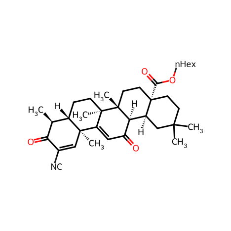 [C-]#[N+]C1=C[C@]2(C)C3=CC(=O)[C@@H]4[C@@H]5CC(C)(C)CC[C@]5(C(=O)OCCCCCC)CC[C@@]4(C)[C@]3(C)CC[C@H]2[C@H](C)C1=O